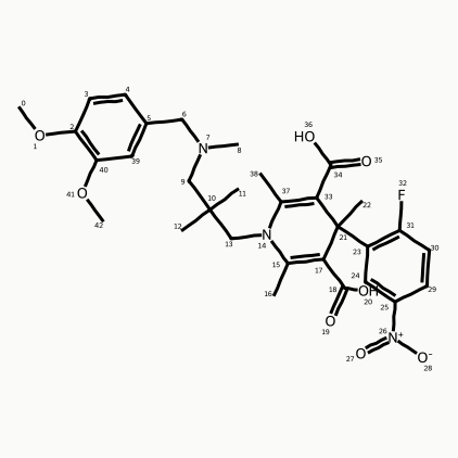 COc1ccc(CN(C)CC(C)(C)CN2C(C)=C(C(=O)O)C(C)(c3cc([N+](=O)[O-])ccc3F)C(C(=O)O)=C2C)cc1OC